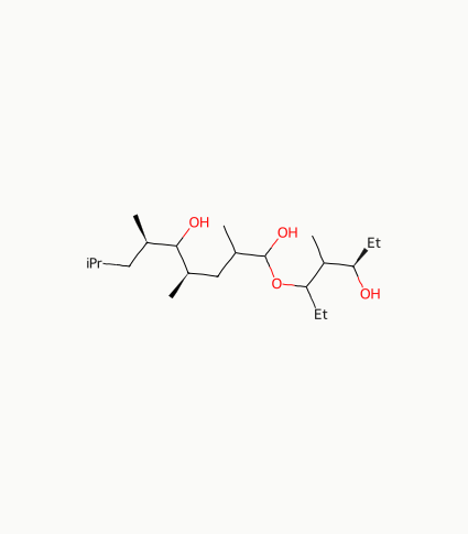 CCC(OC(O)C(C)C[C@@H](C)C(O)[C@H](C)CC(C)C)C(C)[C@H](O)CC